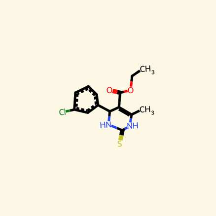 CCOC(=O)C1=C(C)NC(=S)NC1c1cccc(Cl)c1